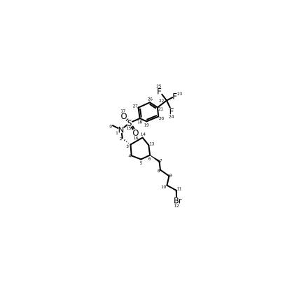 CN(C[C@H]1CC[C@H](CCCCCBr)CC1)S(=O)(=O)c1ccc(C(F)(F)F)cc1